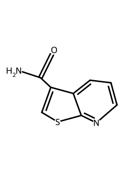 NC(=O)c1csc2ncccc12